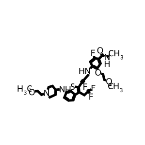 CNC(=O)c1cc(OCCOC)c(NCC#Cc2sc3c(NC4CCN(CCOC)CC4)cccc3c2CC(F)(F)F)cc1F